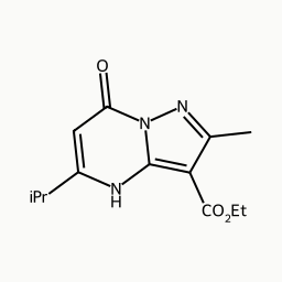 CCOC(=O)c1c(C)nn2c(=O)cc(C(C)C)[nH]c12